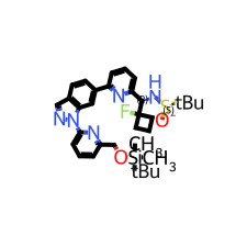 CC(C)(C)[S@@+]([O-])N[C@H](c1cccc(-c2ccc3cnn(-c4cccc(CO[Si](C)(C)C(C)(C)C)n4)c3c2)n1)C1(F)CCC1